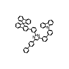 c1ccc(-c2ccc(-c3cc(-c4cccc(-c5cccc(-n6c7ccccc7c7ccccc76)c5)c4)nc(-c4cccc(-c5ccc6c(c5)C5(c7ccccc7-c7ccccc75)c5ccccc5-6)c4)n3)cc2)cc1